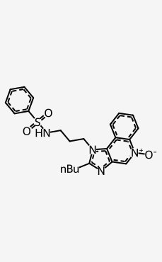 CCCCc1nc2c[n+]([O-])c3ccccc3c2n1CCCNS(=O)(=O)c1ccccc1